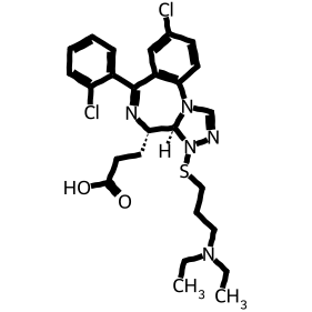 CCN(CC)CCCSN1N=CN2c3ccc(Cl)cc3C(c3ccccc3Cl)=N[C@@H](CCC(=O)O)[C@H]12